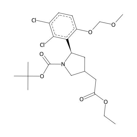 CCOC(=O)CC1C[C@H](c2c(OCOC)ccc(Cl)c2Cl)N(C(=O)OC(C)(C)C)C1